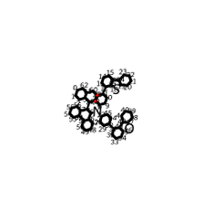 c1ccc2c(-c3c(N(c4ccc(-c5cccc6c5sc5ccccc56)cc4)c4ccc(-c5cccc6oc7ccccc7c56)cc4)c4ccccc4c4ccccc34)cccc2c1